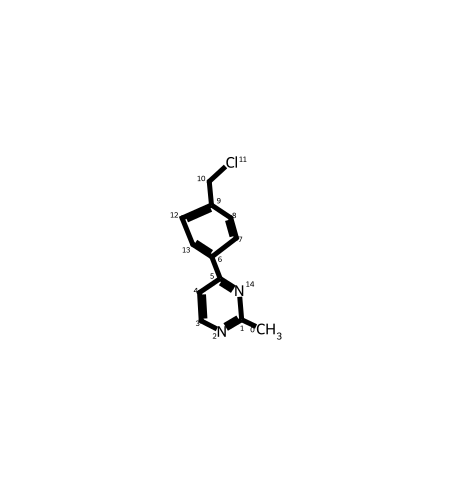 Cc1nccc(-c2ccc(CCl)cc2)n1